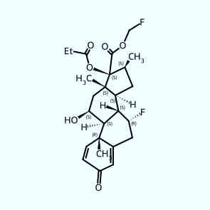 CCC(=O)O[C@@]1(C(=O)OCF)[C@@H](C)C[C@H]2[C@H]3[C@H]([C@@H](O)C[C@@]21C)[C@@]1(C)C=CC(=O)C=C1C[C@H]3F